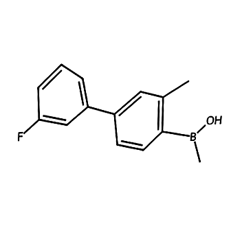 CB(O)c1ccc(-c2cccc(F)c2)cc1C